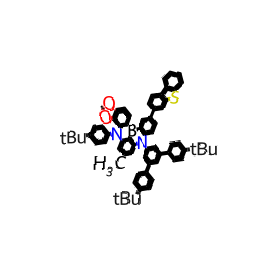 Cc1cc2c3c(c1)N(c1ccc(C(C)(C)C)cc1)c1c(ccc4c1OCO4)B3c1cc(-c3ccc4c(c3)sc3ccccc34)ccc1N2c1cc(-c2ccc(C(C)(C)C)cc2)cc(-c2ccc(C(C)(C)C)cc2)c1